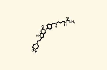 N=C(N)NCCCNCc1ccc(-n2cc3cc(CCN4CCS(=O)(=O)CC4)[nH]c3nc2=O)cc1